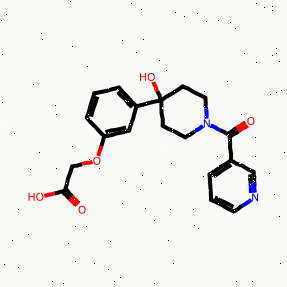 O=C(O)COc1cccc(C2(O)CCN(C(=O)c3cccnc3)CC2)c1